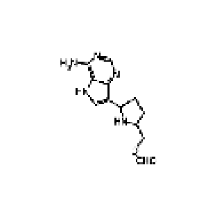 Nc1ncnc2c(C3CCC(COC=O)N3)c[nH]c12